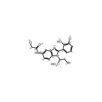 CC(C)CC(C(=O)O)n1c(-c2cccc(Cl)c2O)nc2cc(NC(=O)CCl)ccc21